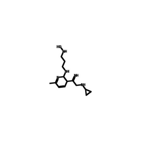 CC1=NC(NCCCNO)C(C(=N)CNC2CC2)C=C1